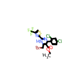 CCOC(=O)C1=C(CBr)NC(c2nc(C(F)(F)F)cs2)=NC1c1ccc(Cl)cc1Cl